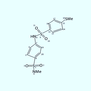 CNS(=O)(=O)c1ccc(NS(=O)(=O)c2ccc(SC)cc2)cc1